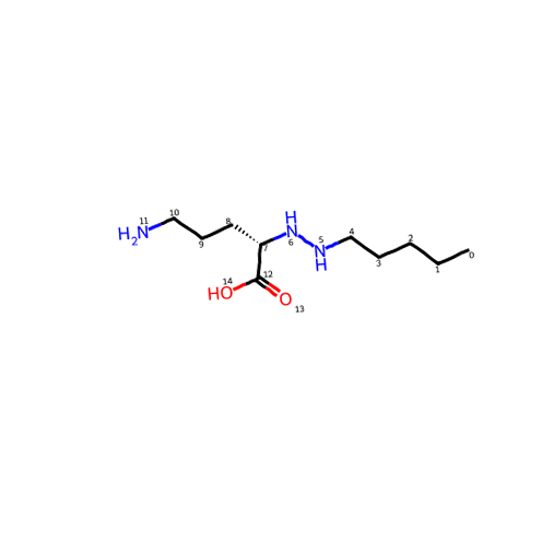 CCCCCNN[C@@H](CCCN)C(=O)O